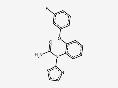 NC(=O)N(c1nccs1)c1ccccc1Oc1cccc(F)c1